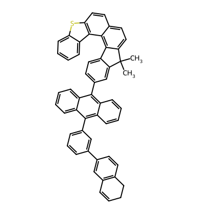 CC1(C)c2cc(-c3c4ccccc4c(-c4cccc(-c5ccc6c(c5)C=CCC6)c4)c4ccccc34)ccc2-c2c1ccc1ccc3sc4ccccc4c3c21